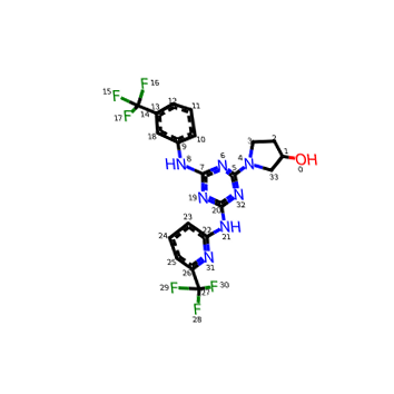 OC1CCN(c2nc(Nc3cccc(C(F)(F)F)c3)nc(Nc3cccc(C(F)(F)F)n3)n2)C1